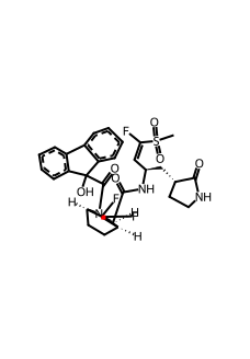 CS(=O)(=O)/C(F)=C\[C@@H](C[C@H]1CCNC1=O)NC(=O)[C@H]1[C@H]2CC[C@H](CC2(F)F)N1C(=O)C1(O)c2ccccc2-c2ccccc21